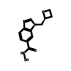 O=C(NO)c1ccc2ncn(C[C@@H]3CCO3)c2c1